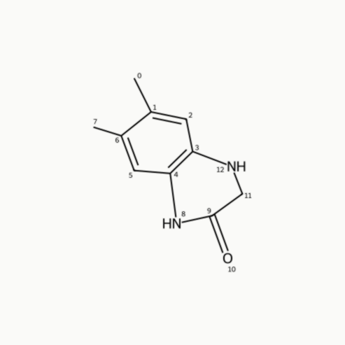 Cc1cc2c(cc1C)NC(=O)CN2